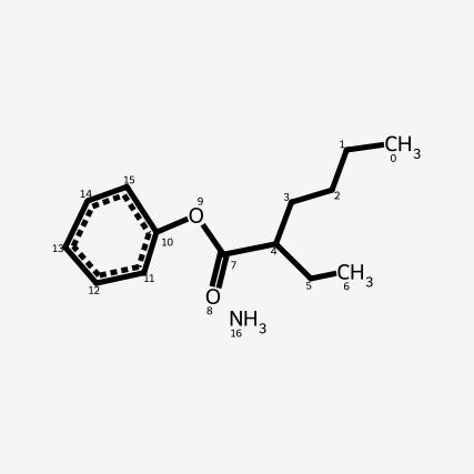 CCCCC(CC)C(=O)Oc1ccccc1.N